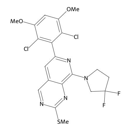 COc1cc(OC)c(Cl)c(-c2cc3cnc(SC)nc3c(N3CCC(F)(F)C3)n2)c1Cl